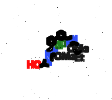 CCC1CN(Cc2ncc(-c3cccc(-c4cccc(-c5cnc(CN6CC(CO)C6)c(OC)n5)c4Cl)c3Cl)nc2OC)C1